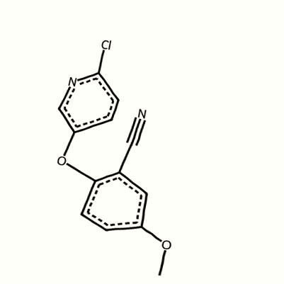 COc1ccc(Oc2ccc(Cl)nc2)c(C#N)c1